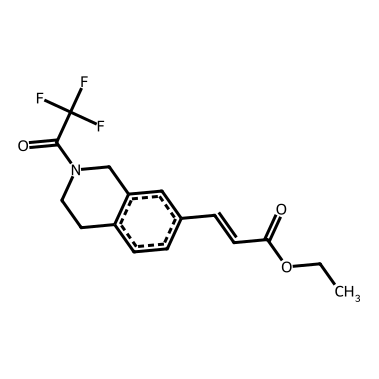 CCOC(=O)C=Cc1ccc2c(c1)CN(C(=O)C(F)(F)F)CC2